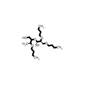 CCCCOC[C@H](OCCCC)[C@H](S)OC(CO)[C@H](C)OCCCC